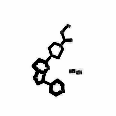 CC(C)OC(=O)N1CCN(c2ccc3ncc(-c4ccncc4)n3n2)CC1.Cl.Cl